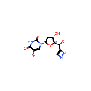 O=c1[nH]c(=O)n([C@H]2C[C@H](O)[C@@H](C(O)C3=CN=N3)O2)cc1Br